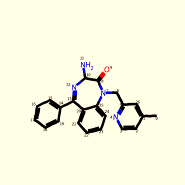 Cc1ccnc(CN2C(=O)C(N)N=C(c3ccccc3)c3ccccc32)c1